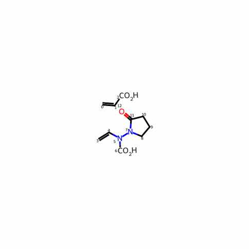 C=CC(=O)O.C=CN(C(=O)O)N1CCCC1=O